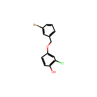 Oc1ccc(OCc2cccc(Br)c2)cc1Cl